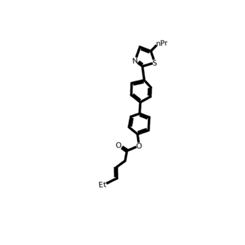 CCC=CCC(=O)Oc1ccc(-c2ccc(-c3ncc(CCC)s3)cc2)cc1